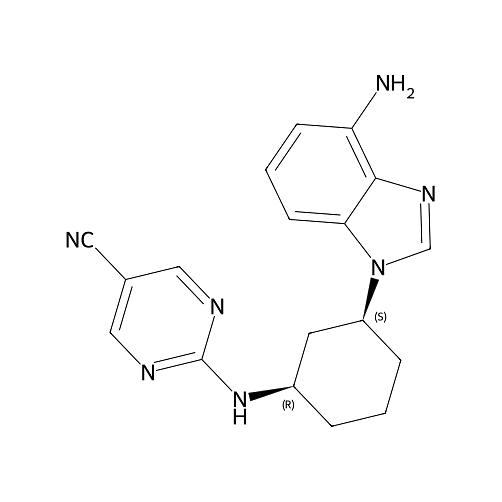 N#Cc1cnc(N[C@@H]2CCC[C@H](n3cnc4c(N)cccc43)C2)nc1